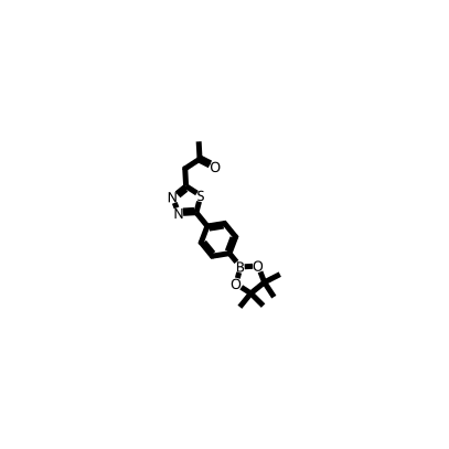 CC(=O)Cc1nnc(-c2ccc(B3OC(C)(C)C(C)(C)O3)cc2)s1